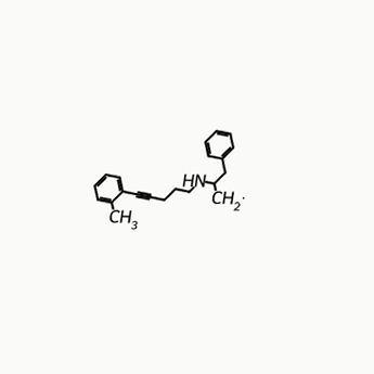 [CH2]C(Cc1ccccc1)NCCCC#Cc1ccccc1C